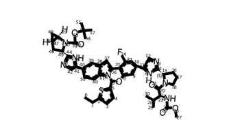 CCc1ccc(C2Oc3cc(-c4cnc([C@@H]5CCCN5C(=O)[C@@H](NC(=O)OC)C(C)C)[nH]4)cc(F)c3-c3cc4cc(-c5cnc([C@@H]6C[C@H]7C[C@H]7N6C(=O)OC(C)(C)C)[nH]5)ccc4n32)s1